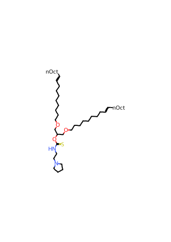 CCCCCCCCC=CCCCCCCCCOCC(COCCCCCCCCC=CCCCCCCCC)OC(=S)NCCN1CCCC1